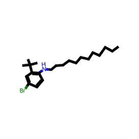 CCCCCCCCCCCCNc1ccc(Br)cc1C(C)(C)C